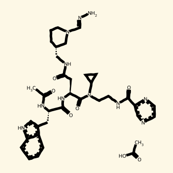 CC(=O)N[C@@H](Cc1c[nH]c2ccccc12)C(=O)N[C@@H](CC(=O)NC[C@@H]1CCCN(C=NN)C1)C(=O)N(CCNC(=O)c1cnccn1)C1CC1.CC(=O)O